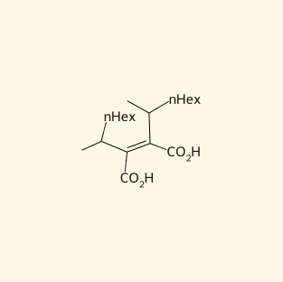 CCCCCCC(C)C(C(=O)O)=C(C(=O)O)C(C)CCCCCC